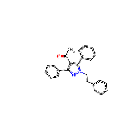 CC(=O)c1c(-c2ccccc2)nn(CCc2ccccc2)c1-c1ccccc1